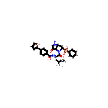 CC(C)C[C@H](NC(=O)c1ccc(-c2cccs2)cc1)C(=O)N1C2C(=O)CNC2CC1S(=O)(=O)c1ccccc1